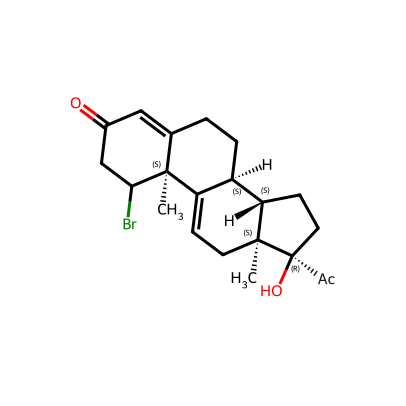 CC(=O)[C@@]1(O)CC[C@H]2[C@@H]3CCC4=CC(=O)CC(Br)[C@]4(C)C3=CC[C@@]21C